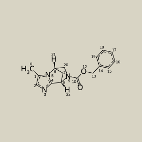 Cc1cnc2n1[C@H]1C[C@@H]2N(C(=O)OCc2ccccc2)C1